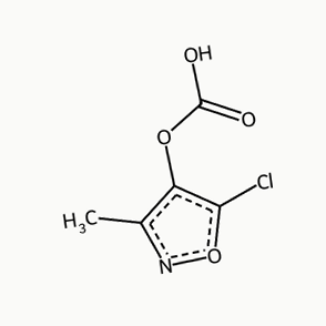 Cc1noc(Cl)c1OC(=O)O